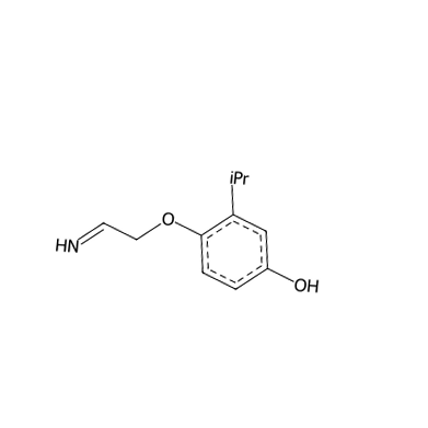 CC(C)c1cc(O)ccc1OCC=N